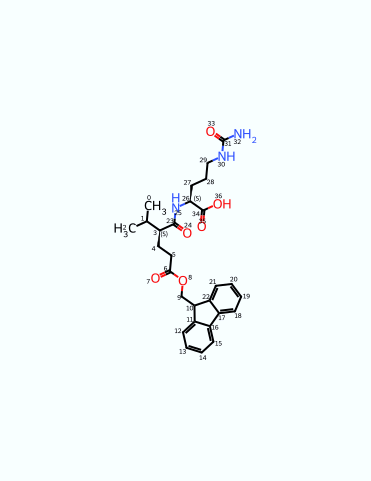 CC(C)[C@H](CCC(=O)OCC1c2ccccc2-c2ccccc21)C(=O)N[C@@H](CCCNC(N)=O)C(=O)O